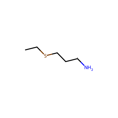 CCSCC[CH]N